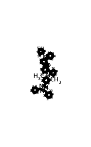 Cc1cc(-c2nc(-c3ccccc3)nc(-c3ccccc3)n2)cc(C)c1-n1c2ccccc2c2c3oc4c(ccc5c4c4ccccc4n5-c4ccccc4)c3ccc21